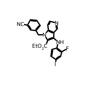 CCOC(=O)c1c(Nc2ccc(I)cc2F)c2cnccc2n1Cc1cccc(C#N)c1